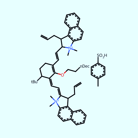 C=CCC1C(=CC=C2C(OCCCCCCCCCCCC)=C(C=CC3C(CC=C)c4c(ccc5ccccc45)[N+]3(C)C)CCC2C(C)(C)C)[N+](C)(C)c2ccc3ccccc3c21.Cc1ccc(S(=O)(=O)O)cc1